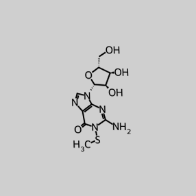 CSn1c(N)nc2c(ncn2[C@@H]2O[C@H](CO)[C@@H](O)[C@H]2O)c1=O